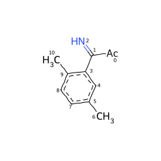 CC(=O)C(=N)c1cc(C)ccc1C